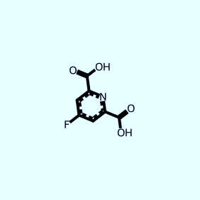 O=C(O)c1cc(F)cc(C(=O)O)n1